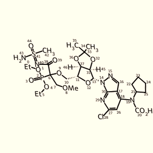 CCOP(=O)(OCC)C(COC)(OC[C@H]1O[C@@H](n2ncc3c(N(C(=O)O)C4CCCC4)cc(Cl)nc32)[C@@H]2OC(C)(C)O[C@@H]21)C(=O)N=S(C)(N)=O